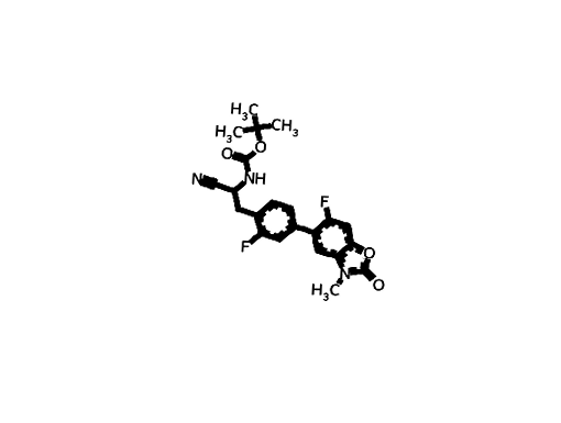 Cn1c(=O)oc2cc(F)c(-c3ccc(CC(C#N)NC(=O)OC(C)(C)C)c(F)c3)cc21